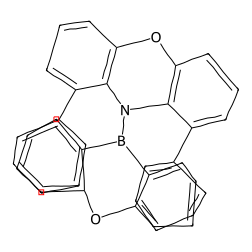 c1ccc(-c2cccc3c2N(B2c4ccccc4Oc4ccccc42)c2c(cccc2-c2ccccc2)O3)cc1